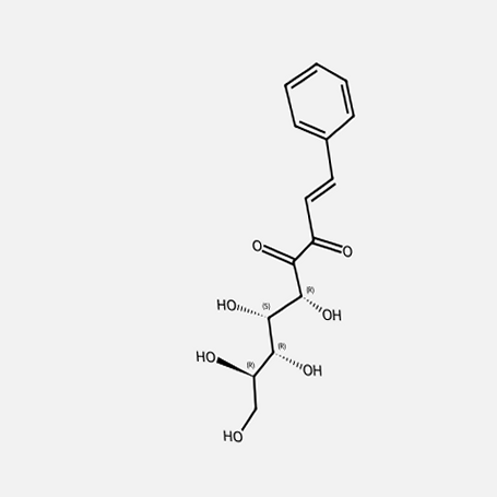 O=C(C=Cc1ccccc1)C(=O)[C@H](O)[C@@H](O)[C@H](O)[C@H](O)CO